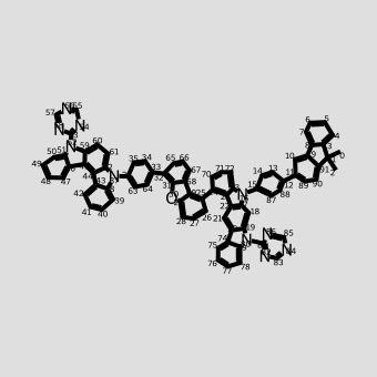 CC1(C)c2ccccc2-c2cc(-c3ccc(-n4c5cc6c(cc5c5c(-c7cccc8oc9c(-c%10ccc(-n%11c%12ccccc%12c%12c%13c%14ccccc%14n(-c%14ncncn%14)c%13ccc%12%11)cc%10)cccc9c78)cccc54)c4ccccc4n6-c4ncncn4)cc3)ccc21